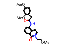 COCCn1ccc2c(NC(=O)Cc3ccc(OC)cc3OC)cccc2c1=O